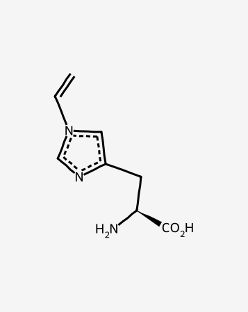 C=Cn1cnc(C[C@H](N)C(=O)O)c1